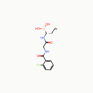 CC(C)C[C@H](NC(=O)CNC(=O)c1ccccc1F)B(O)O